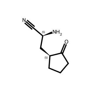 N#C[C@@H](N)C[C@@H]1CCCC1=O